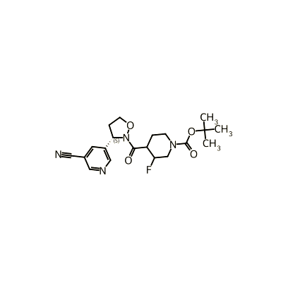 CC(C)(C)OC(=O)N1CCC(C(=O)N2OCC[C@H]2c2cncc(C#N)c2)C(F)C1